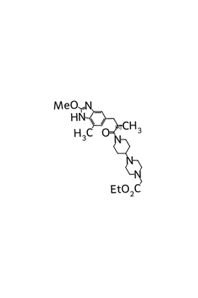 CCOC(=O)CN1CCN(C2CCN(C(=O)[C@H](C)Cc3cc(C)c4[nH]c(OC)nc4c3)CC2)CC1